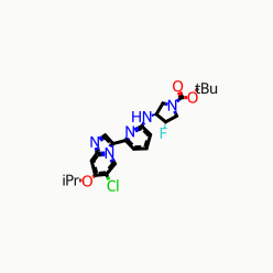 CC(C)Oc1cc2ncc(-c3cccc(N[C@H]4CN(C(=O)OC(C)(C)C)C[C@@H]4F)n3)n2cc1Cl